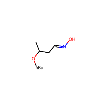 CCCCOC(C)CC=NO